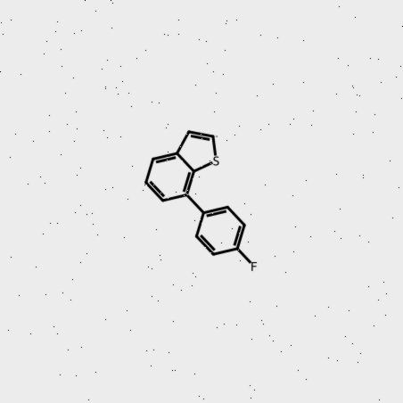 Fc1ccc(-c2cccc3c[c]sc23)cc1